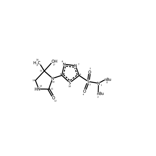 CCCCN(CCCC)S(=O)(=O)c1nnc(N2C(=O)NCC2(C)O)s1